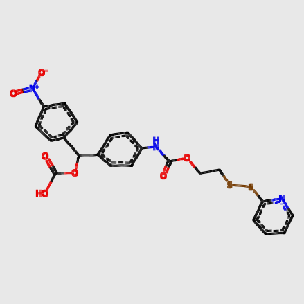 O=C(O)OC(c1ccc(NC(=O)OCCSSc2ccccn2)cc1)c1ccc([N+](=O)[O-])cc1